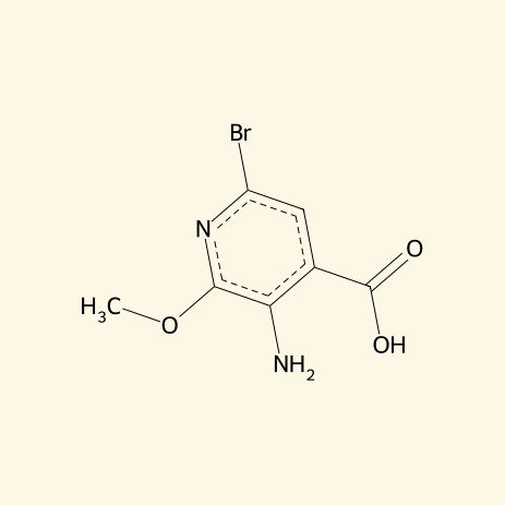 COc1nc(Br)cc(C(=O)O)c1N